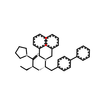 CC[C@H](C[C@@H](Cc1ccc(-c2ccccc2)cc1)N(Cc1ccccc1)Cc1ccccc1)C(=O)N1CCCC1